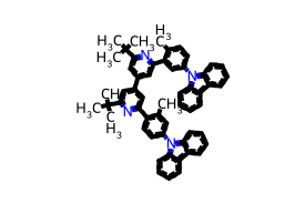 Cc1cc(-n2c3ccccc3c3ccccc32)ccc1-c1cc(-c2cc(-c3cc(-n4c5ccccc5c5ccccc54)ccc3C)nc(C(C)(C)C)c2)cc(C(C)(C)C)n1